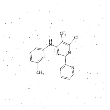 Cc1cccc(Nc2nc(-c3ccccn3)nc(Cl)c2C(F)(F)F)c1